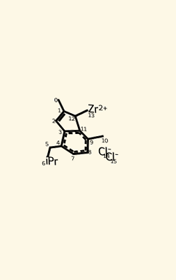 CC1=Cc2c(CC(C)C)ccc(C)c2[CH]1[Zr+2].[Cl-].[Cl-]